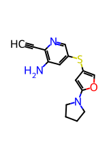 C#Cc1ncc(Sc2coc(N3CCCC3)c2)cc1N